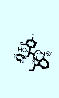 CCc1nn([C@H](C)[C@](O)(Cn2cncn2)c2ccc(F)cc2F)c2c([N+](=O)[O-])cccc12